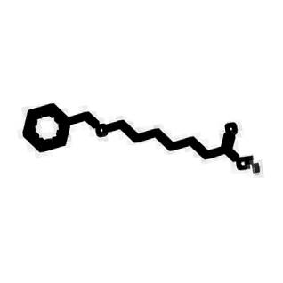 O=C(CCCCCCOCc1ccccc1)C(F)(F)F